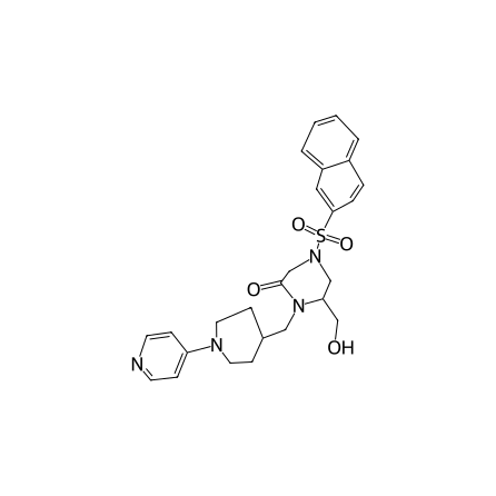 O=C1CN(S(=O)(=O)c2ccc3ccccc3c2)CC(CO)N1CC1CCN(c2ccncc2)CC1